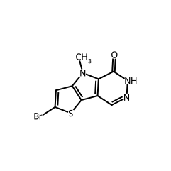 Cn1c2cc(Br)sc2c2cn[nH]c(=O)c21